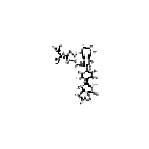 O=C(C1CC1)N1CCC(Cn2c(-c3ccc(-c4ccc5occc5c4)cc3)nc3ccccc32)C1